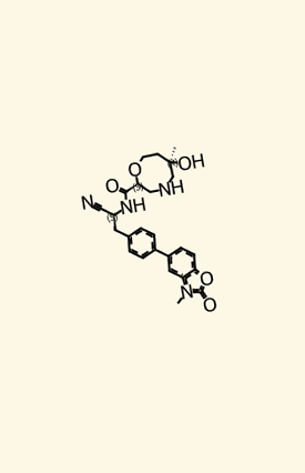 Cn1c(=O)oc2ccc(-c3ccc(C[C@@H](C#N)NC(=O)[C@@H]4CNC[C@](C)(O)CCO4)cc3)cc21